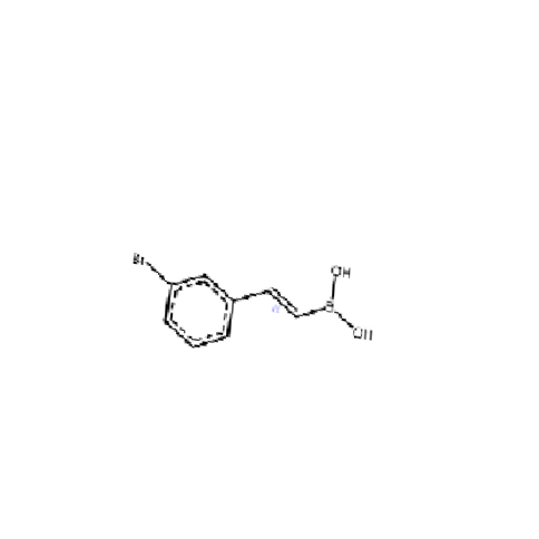 OB(O)/C=C/c1cccc(Br)c1